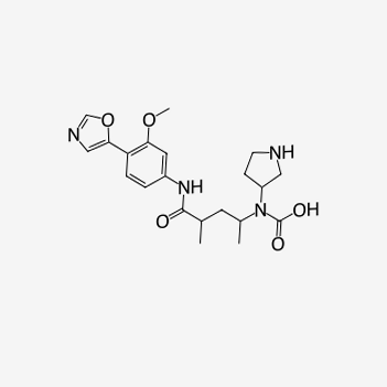 COc1cc(NC(=O)C(C)CC(C)N(C(=O)O)C2CCNC2)ccc1-c1cnco1